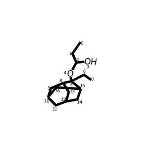 CCC(O)OC1(CC)C2CC3CC(C2)CC1C3